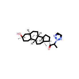 CC(C(=O)[C@H]1CC[C@H]2[C@@H]3CC[C@@H]4C[C@](C)(O)CC[C@]4(C)[C@H]3CC[C@]12C)n1nccn1